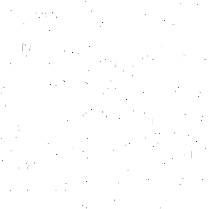 CN/C=C(\C=N)C(CNC(=O)c1cccc(Cl)c1Cl)N1CCC(F)(F)CC1